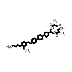 C=C(CO)C(=O)OCC(COC(=O)C(=C)CO)C1CCC(C2CCC(c3ccc(CCc4ccc(CCCCC)c(CC)c4)cc3)CC2)CC1